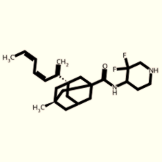 C=C(/C=C\C=C/C)[C@]12CC3CC(C(=O)NC4CCNCC4(F)F)(C[C@](C)(C3)C1)C2